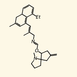 C=C1CC(O/C=N/C/C(C)=C/C2=C3C(CC)=CC=CC3CC(C)=C2)C2(CCCN2C)C1